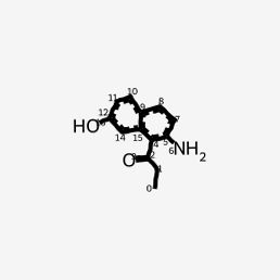 CCC(=O)c1c(N)ccc2ccc(O)cc12